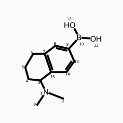 CN(C)C1CCCc2cc(B(O)O)ccc21